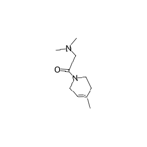 CC1=CCN(C(=O)CN(C)C)CC1